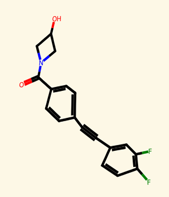 O=C(c1ccc(C#Cc2ccc(F)c(F)c2)cc1)N1CC(O)C1